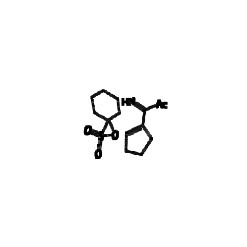 CC(=O)C(=N)C1=CCCC1.O=S1(=O)OC12CCCCC2